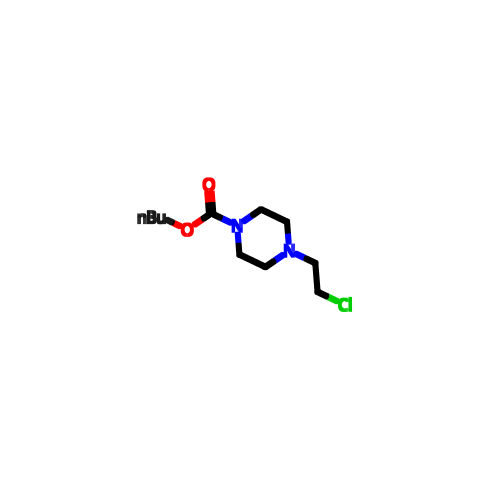 CCCCOC(=O)N1CCN(CCCl)CC1